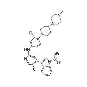 CCC[S+]([O-])n1cc(-c2nc(Nc3ccc(N4CCC(N5CCN(C)CC5)CC4)c(Cl)c3)ncc2Cl)c2ccccc21